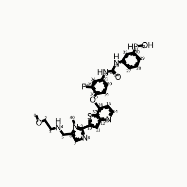 COCCNCc1cnc(-c2cc3nccc(Oc4ccc(NC(=O)Nc5cccc(PO)c5)cc4F)c3s2)n1C